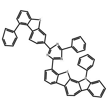 c1ccc(-c2nc(-c3ccc4c(c3)sc3cccc(-c5ccccc5)c34)nc(-c3cccc4c3sc3c4ccc4c5ccccc5n(-c5ccccc5)c43)n2)cc1